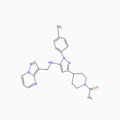 CC(=O)N1CCC(c2cc(NCc3cnn4cccnc34)n(-c3ccc(C)cc3)n2)CC1